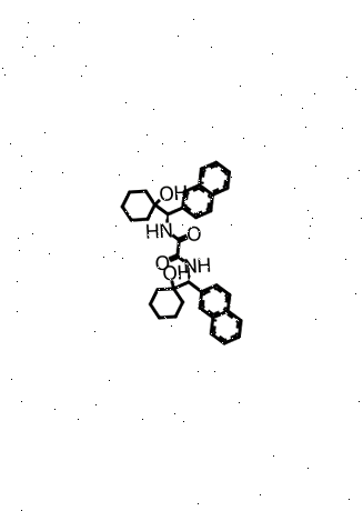 O=C(N[C@H](c1ccc2ccccc2c1)C1(O)CCCCC1)C(=O)N[C@H](c1ccc2ccccc2c1)C1(O)CCCCC1